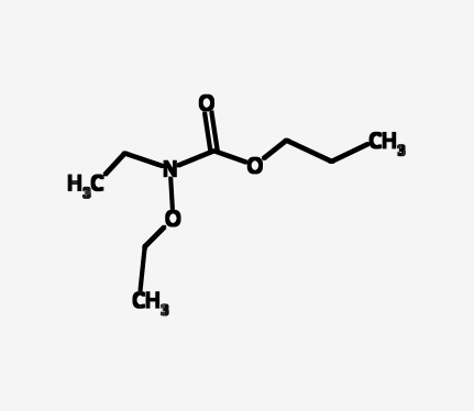 CCCOC(=O)N(CC)OCC